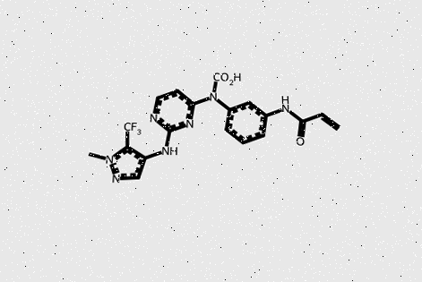 C=CC(=O)Nc1cccc(N(C(=O)O)c2ccnc(Nc3cnn(C)c3C(F)(F)F)n2)c1